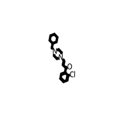 O=C(C=CN1CCN(CC2CCCCC2)CC1)c1ccccc1Cl